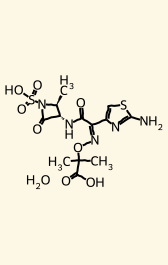 C[C@H]1[C@H](NC(=O)C(=NOC(C)(C)C(=O)O)c2csc(N)n2)C(=O)N1S(=O)(=O)O.O